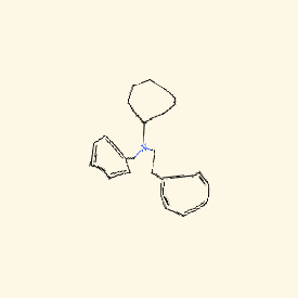 c1ccc(CCN(c2ccccc2)C2CCCCC2)cc1